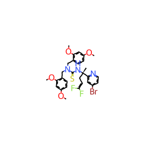 COc1ccc(CN(Cc2ccc(OC)cc2OC)C(=S)N[C@@](C)(CC=C(F)F)c2cc(Br)ccn2)c(OC)c1